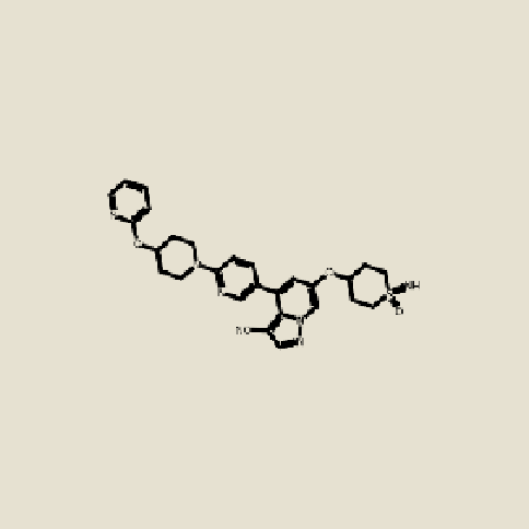 N#Cc1cnn2cc(OC3CCS(=N)(=O)CC3)cc(-c3ccc(N4CCC(Oc5ccccn5)CC4)nc3)c12